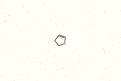 [C]1=CCCO1